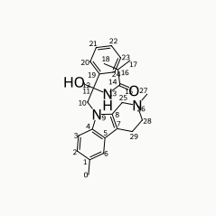 Cc1ccc2c(c1)c1c(n2CC(O)(NC(=O)C(C)C)c2ccccc2)CN(C)CC1